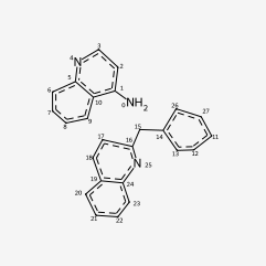 Nc1ccnc2ccccc12.c1ccc(Cc2ccc3ccccc3n2)cc1